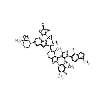 Cc1cc(-n2nc3c(c2-n2cnc(-c4ccc5c(cnn5C)c4F)c2C)[C@H](C)N(C(=O)c2cc4cc([C@H]5CCOC(C)(C)C5)ccc4n2[C@@]2(c4noc(=O)[nH]4)C[C@@H]2C)CC3)cc(C)c1F